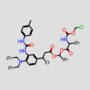 CCC(CC(=O)OC(OC(=O)C(NC(=O)OCCl)C(C)C)C(C)C)c1ccc(N(CC(C)C)CC(C)C)c(NC(=O)Nc2ccc(C)cc2)c1